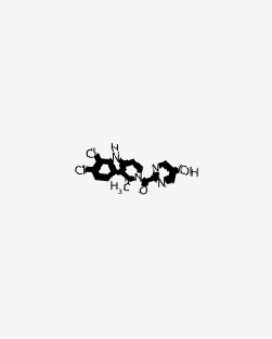 C[C@@H]1c2c([nH]c3c(Cl)c(Cl)ccc23)CCN1C(=O)c1ncc(O)cn1